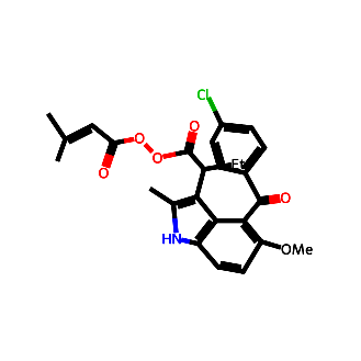 CCC(C(=O)OOC(=O)C=C(C)C)c1c(C)[nH]c2ccc(OC)c(C(=O)c3ccc(Cl)cc3)c12